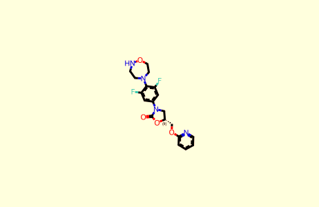 O=C1O[C@@H](COc2ccccn2)CN1c1cc(F)c(N2CCNOCC2)c(F)c1